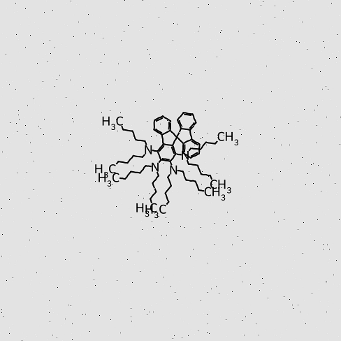 CCCCCN(CCCCC)c1c2c(c(N(CCCCC)CCCCC)c(N(CCCCC)CCCCC)c1N(CCCCC)CCCCC)C1(c3ccccc3-c3ccccc31)c1ccccc1-2